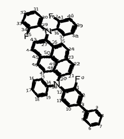 Fc1cc(-c2ccccc2)ccc1N(c1ccccc1)c1ccc2ccc3c(N(c4ccccc4F)c4ccccc4F)ccc4ccc1c2c43